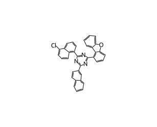 Clc1cccc2c(-c3nc(-c4ccc5ccccc5c4)nc(-c4cccc5oc6ccccc6c45)n3)cccc12